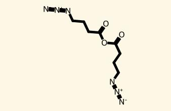 [N-]=[N+]=NCCCC(=O)OC(=O)CCCN=[N+]=[N-]